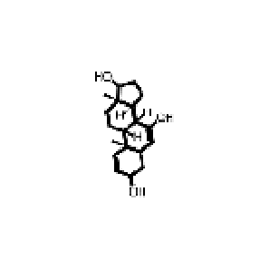 C[C@]12C=CC(O)CC1C=C(O)[C@@H]1[C@H]2CC[C@]2(C)C(O)CC[C@@H]12